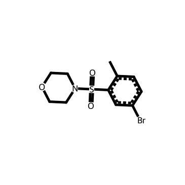 Cc1ccc(Br)cc1S(=O)(=O)N1CCOCC1